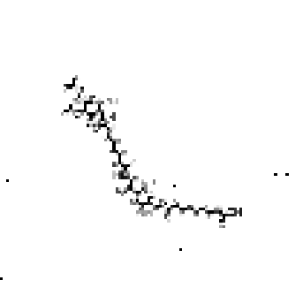 CC(=O)OC[C@H]1OC(O)[C@H](NC(=O)CCCCCCC(=O)NC[C@@H](O)C2C[C@H](O)[C@@H](COC(=O)CCCCCCCC(=O)O)OC2O)[C@@H](O)[C@@H]1OC(C)=O